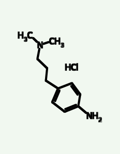 CN(C)CCCc1ccc(N)cc1.Cl